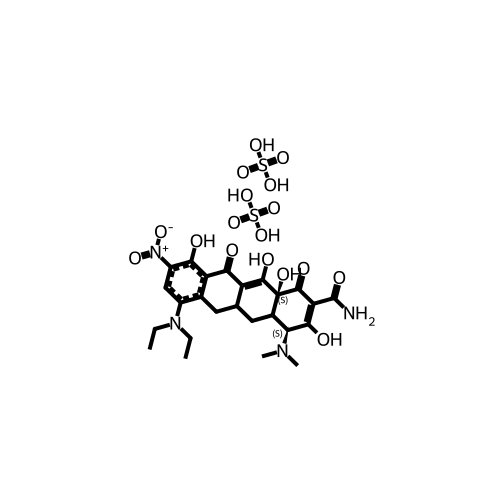 CCN(CC)c1cc([N+](=O)[O-])c(O)c2c1CC1CC3[C@H](N(C)C)C(O)=C(C(N)=O)C(=O)[C@@]3(O)C(O)=C1C2=O.O=S(=O)(O)O.O=S(=O)(O)O